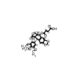 COc1cc([C@@H]2c3cc4c(cc3[C@H](OC(=O)/C=C/C(=O)O)[C@H]3COC(=O)[C@@H]23)OCO4)cc(OC)c1OC